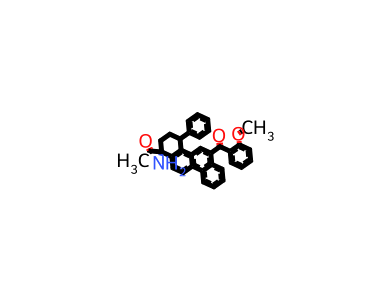 COc1ccccc1C(=O)c1cc2c3c(ccc2c2ccccc12)C(N)(C(C)=O)CCC3c1ccccc1